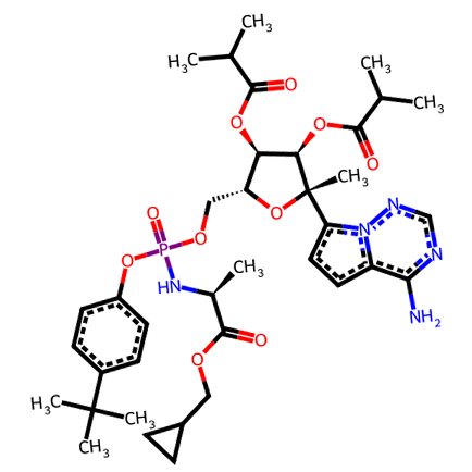 CC(C)C(=O)O[C@H]1[C@@H](OC(=O)C(C)C)[C@](C)(c2ccc3c(N)ncnn23)O[C@@H]1COP(=O)(N[C@@H](C)C(=O)OCC1CC1)Oc1ccc(C(C)(C)C)cc1